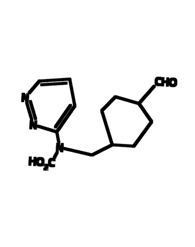 O=CC1CCC(CN(C(=O)O)c2cccnn2)CC1